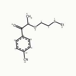 CCSCCOC(C)C(=O)c1ccc(C#N)cc1